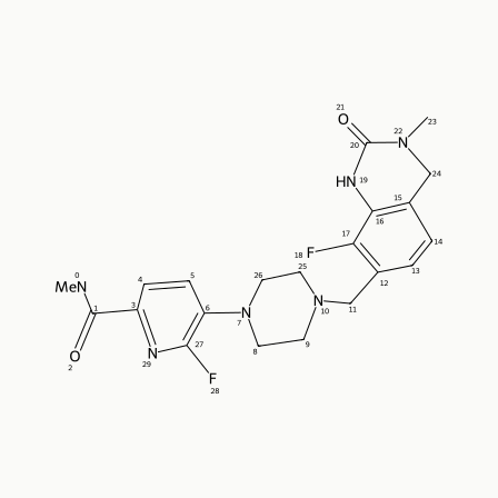 CNC(=O)c1ccc(N2CCN(Cc3ccc4c(c3F)NC(=O)N(C)C4)CC2)c(F)n1